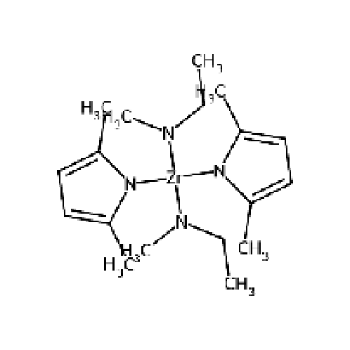 CC[N](C)[Zr]([N](C)CC)([n]1c(C)ccc1C)[n]1c(C)ccc1C